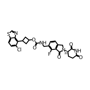 O=C1CC[C@@H](N2Cc3ccc(CNC(=O)OC4CC(c5c(Cl)ccc6scnc56)C4)c(F)c3C2=O)C(=O)N1